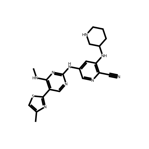 CNc1nc(Nc2cnc(C#N)c(NC3CCCNC3)c2)ncc1-c1nc(C)cs1